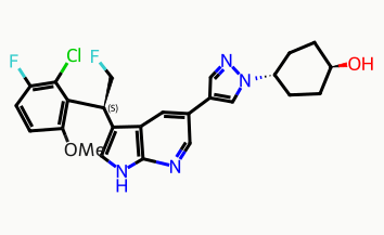 COc1ccc(F)c(Cl)c1[C@@H](CF)c1c[nH]c2ncc(-c3cnn([C@H]4CC[C@H](O)CC4)c3)cc12